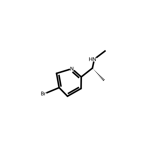 CN[C@H](C)c1ccc(Br)cn1